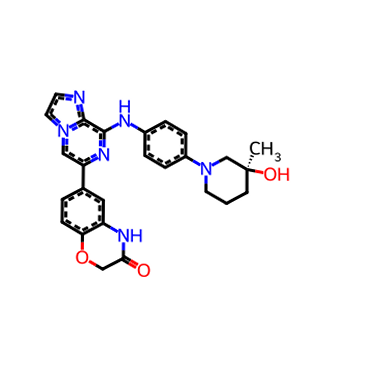 C[C@]1(O)CCCN(c2ccc(Nc3nc(-c4ccc5c(c4)NC(=O)CO5)cn4ccnc34)cc2)C1